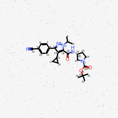 CC(C)n1nc(-c2ccc(C#N)cc2)c(C2CC2)c1C(=O)N[C@@H]1CCN(C(=O)OC(C)(C)C)C1